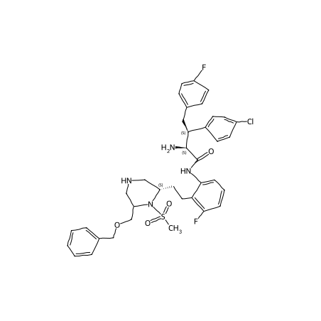 CS(=O)(=O)N1C(COCc2ccccc2)CNC[C@@H]1CCc1c(F)cccc1NC(=O)[C@@H](N)[C@@H](Cc1ccc(F)cc1)c1ccc(Cl)cc1